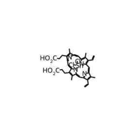 C=CC1=C(C)C2=Cc3c(C=C)c(C)c4[n]3[Sn]([Cl])([Cl])[n]3c(c(C)c(CCC(=O)O)c3=CC3=NC(=C4)C(C)=C3CCC(=O)O)=CC1=N2